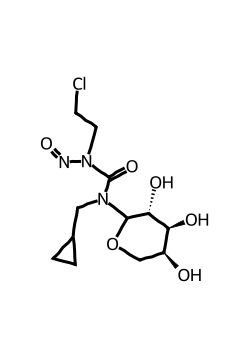 O=NN(CCCl)C(=O)N(CC1CC1)C1OC[C@H](O)[C@H](O)[C@H]1O